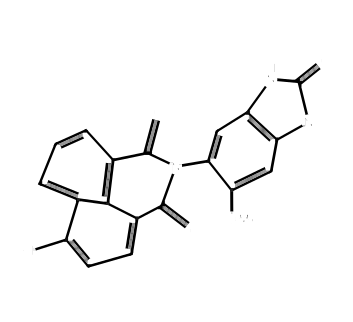 COc1cc2[nH]c(=O)[nH]c2cc1N1C(=O)c2cccc3c(Cl)ccc(c23)C1=O